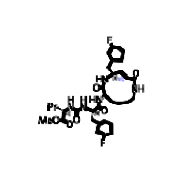 COC(=O)[C@@H](NC(=O)N[C@@H](Cc1cccc(F)c1)C(=O)N[C@H]1CCCCNC(=O)/C=C/[C@H](Cc2cccc(F)c2)NC1=O)C(C)C